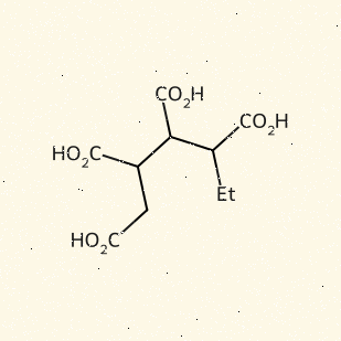 CCC(C(=O)O)C(C(=O)O)C(CC(=O)O)C(=O)O